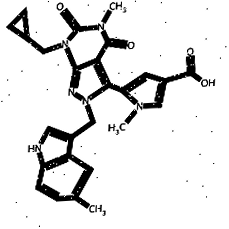 Cc1ccc2[nH]cc(Cn3nc4c(c3-c3cc(C(=O)O)cn3C)c(=O)n(C)c(=O)n4CC3CC3)c2c1